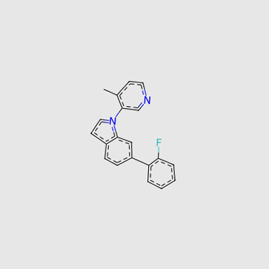 Cc1ccncc1-n1ccc2ccc(-c3ccccc3F)cc21